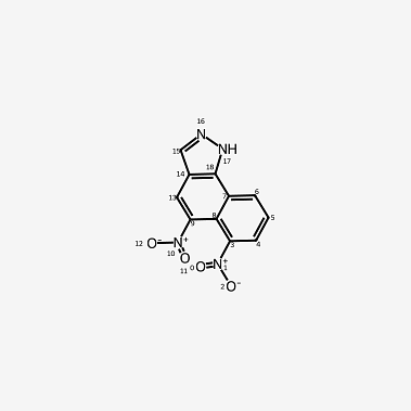 O=[N+]([O-])c1cccc2c1c([N+](=O)[O-])cc1cn[nH]c12